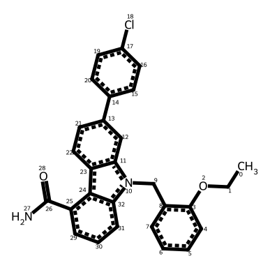 CCOc1ccccc1Cn1c2cc(-c3ccc(Cl)cc3)c[c]c2c2c(C(N)=O)cccc21